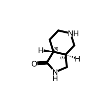 O=C1NC[C@@H]2CNCC[C@@H]12